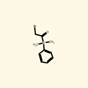 C[N+](C)(C(=O)CBr)c1ccccc1